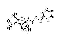 CCC(=O)O[C@H](O[P@@](=O)(CCCCc1ccccc1)CC(=O)O)C(C)C